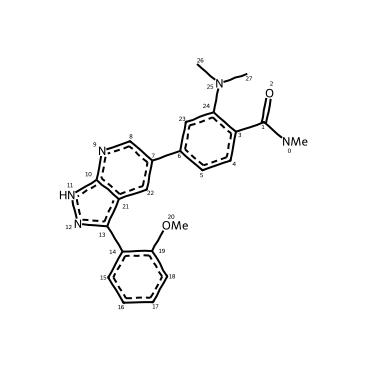 CNC(=O)c1ccc(-c2cnc3[nH]nc(-c4ccccc4OC)c3c2)cc1N(C)C